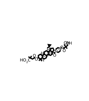 CC(C)(CC(=O)O[C@H]1CC[C@]2(C)[C@H]3CC[C@@H]4[C@H]5[C@H](C6(C)CC6)CC[C@]5(C(=O)N5CCN(OC(=O)C(C)(CO)CO)CC5)CC[C@@]4(C)[C@]3(C)CC[C@H]2C1(C)C)C(=O)O